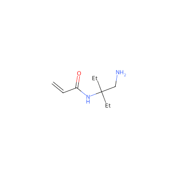 C=CC(=O)NC(CC)(CC)CN